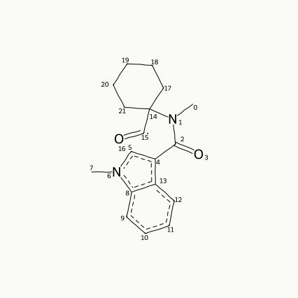 CN(C(=O)c1cn(C)c2ccccc12)C1([C]=O)CCCCC1